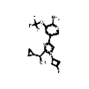 Nc1ncc(-c2cn(C34CC(F)(C3)C4)c(C(O)C3CC3)n2)cc1OC(F)(F)F